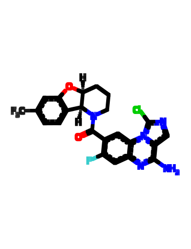 Nc1nc2cc(F)c(C(=O)N3CCC[C@@H]4Oc5cc(C(F)(F)F)ccc5[C@@H]43)cc2n2c(Cl)ncc12